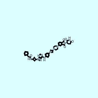 O=C1CC[C@H](N2C(=O)c3ccc(N4CCN(C5CN(c6ccc(Nc7ncnc8c7ncn8C7CC(NC(=O)Cc8ccccc8)C7)cc6)C5)CC4)cc3C2=O)C(=O)N1